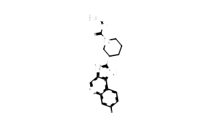 CC(C)(C)OC(=O)N1CCC[C@@H](c2nc3cnc4cc(Br)ccc4c3[nH]2)C1